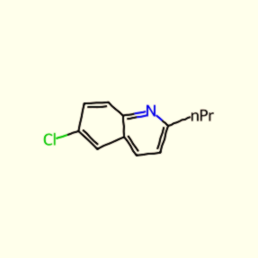 CCCc1ccc2cc(Cl)ccc2n1